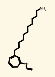 C=CNC1=CC(CCCCCCCCCCCN)=CC=CC1